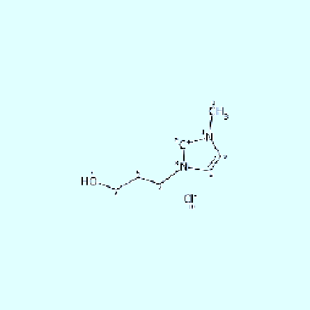 CN1[C+]N(CCCO)C=C1.[Cl-]